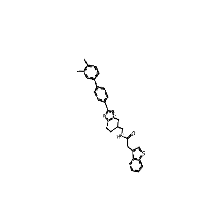 Cc1ccc(-c2ccc(-c3cn4c(n3)CCC(CNC(=O)Cc3csc5ccccc35)C4)cc2)cc1C